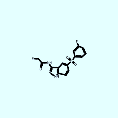 O=C(CF)Nc1n[nH]c2ccc(S(=O)(=O)c3cccc(F)c3)cc12